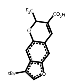 CC(C)(C)c1coc2cc3c(cc12)OC(C(F)(F)F)C(C(=O)O)=C3